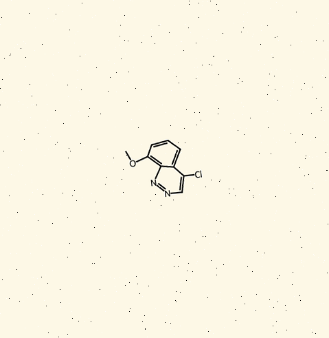 COc1cccc2c(Cl)cnnc12